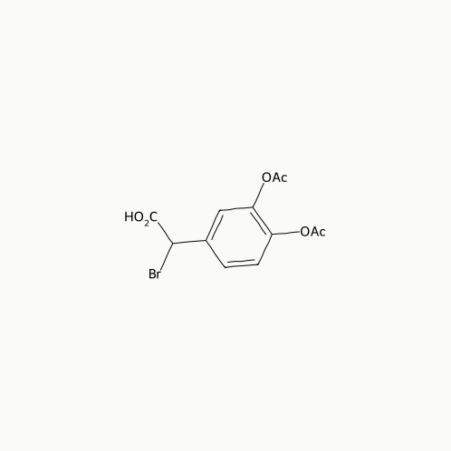 CC(=O)Oc1ccc(C(Br)C(=O)O)cc1OC(C)=O